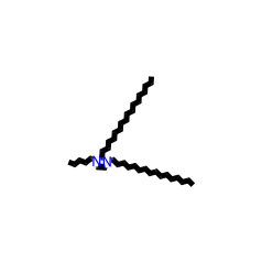 CCCCCCCCCCCCCCCCCC1N(CCCCC)C=CN1CCCCCCCCCCCCCCCC